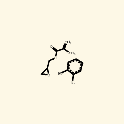 C=C(C)C(=O)OCC1CO1.CCc1ccccc1CC